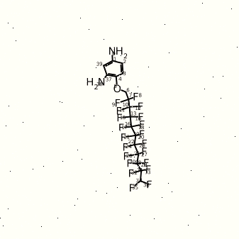 Nc1ccc(OCC(F)(F)C(F)(F)C(F)(F)C(F)(F)C(F)(F)C(F)(F)C(F)(F)C(F)(F)C(F)(F)C(F)F)c(N)c1